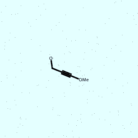 COC#CC[O]